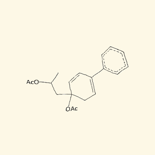 CC(=O)OC(C)CC1(OC(C)=O)C=CC(c2ccccc2)=CC1